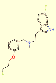 CN(CCc1c[nH]c2cc(F)ccc12)Cc1cccc(OCCCF)c1